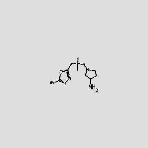 CC(C)c1nnc(CC(C)(C)CN2CCC(N)C2)o1